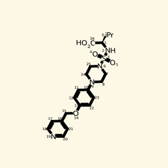 CC(C)[C@@H](NS(=O)(=O)N1CCN(c2ccc(OCc3ccncc3)cc2)CC1)C(=O)O